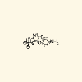 Nc1ccc(Oc2ccnc3cc([SH](=O)=O)sc23)c(F)c1